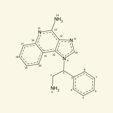 NCC(c1ccccc1)n1cnc2c(N)nc3ccccc3c21